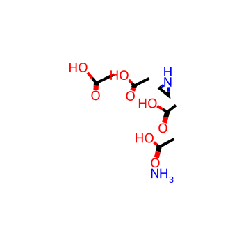 C1CN1.CC(=O)O.CC(=O)O.CC(=O)O.CC(=O)O.N